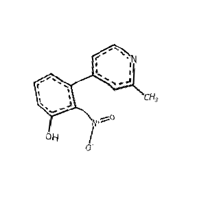 Cc1cc(-c2cccc(O)c2[N+](=O)[O-])ccn1